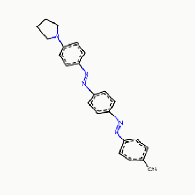 N#Cc1ccc(N=Nc2ccc(N=Nc3ccc(N4CCCC4)cc3)cc2)cc1